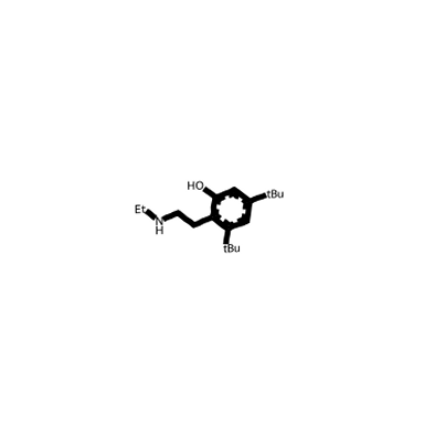 CCNCCc1c(O)cc(C(C)(C)C)cc1C(C)(C)C